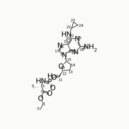 CCOC(=O)[C@H](C)N[PH](=O)OC[C@@H]1CC[C@H](n2cnc3c(NC4CC4)nc(N)nc32)O1